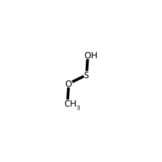 COSO